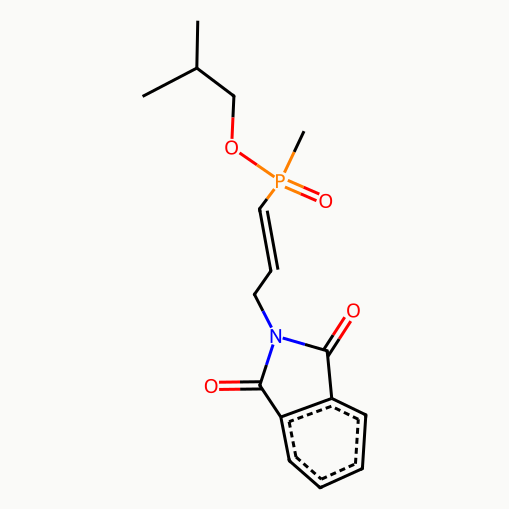 CC(C)COP(C)(=O)C=CCN1C(=O)c2ccccc2C1=O